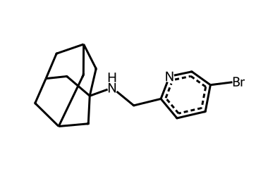 Brc1ccc(CNC23CC4CC(CC(C4)C2)C3)nc1